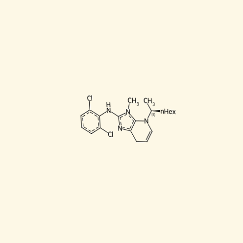 CCCCCC[C@H](C)N1C=CCc2nc(Nc3c(Cl)cccc3Cl)n(C)c21